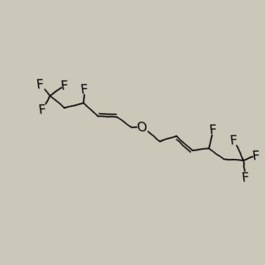 FC(C=CCOCC=CC(F)CC(F)(F)F)CC(F)(F)F